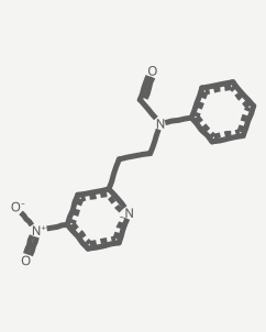 O=CN(CCc1cc([N+](=O)[O-])ccn1)c1ccccc1